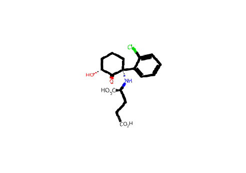 O=C(O)CC[C@H](N[C@@]1(c2ccccc2Cl)CCC[C@@H](O)C1=O)C(=O)O